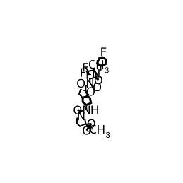 C[C@H](N(Cc1ccc(F)cc1)C(=O)CN1C(=O)O[C@@]2(CCc3cc(NC(=O)N4CCCC(S(C)(=O)=O)C4)ccc32)C1=O)C(F)(F)F